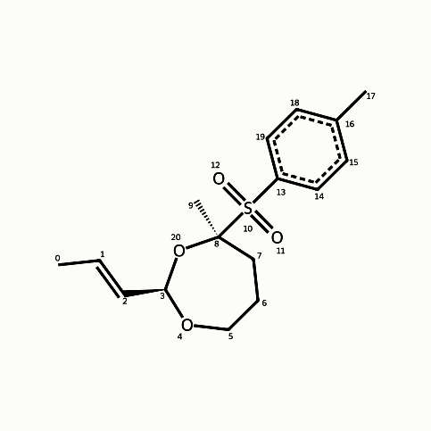 C/C=C/[C@@H]1OCCC[C@](C)(S(=O)(=O)c2ccc(C)cc2)O1